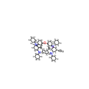 CC(C)(C)c1cc2c3c(c1)N(c1ccccc1)c1cccc4c1B3c1cc3c(cc1N2c1ccccc1)N(c1ccccc1)c1cccc2c1B3c1c(cccc1N2c1ccccc1)O4